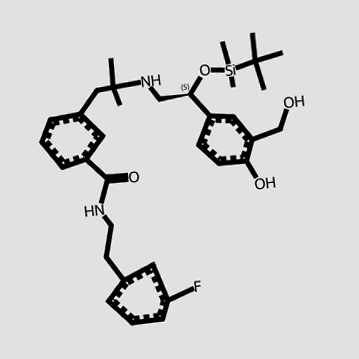 CC(C)(Cc1cccc(C(=O)NCCc2cccc(F)c2)c1)NC[C@@H](O[Si](C)(C)C(C)(C)C)c1ccc(O)c(CO)c1